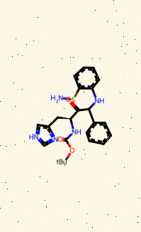 CC(C)(C)OC(=O)N[C@@H](Cc1c[nH]cn1)C(=O)C(Nc1ccccc1SN)c1ccccc1